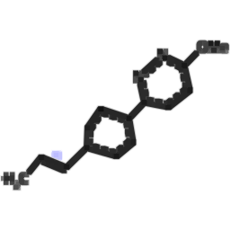 [CH2]/C=C/c1ccc(-c2ccc(OC)nn2)cc1